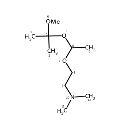 COC(C)(C)OC(C)OCCN(C)C